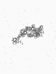 Cc1c(Cl)cccc1OCCOC(=O)N1CCCOc2c(-c3cnn(Cc4c(F)cc(C(=O)N[C@](CCN5CCOCC5)(C(=O)O)C(CCN5CCOCC5)C(=O)O)cc4Cl)c3)cccc21